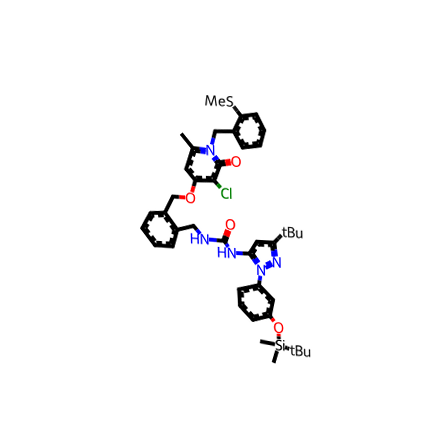 CSc1ccccc1Cn1c(C)cc(OCc2ccccc2CNC(=O)Nc2cc(C(C)(C)C)nn2-c2cccc(O[Si](C)(C)C(C)(C)C)c2)c(Cl)c1=O